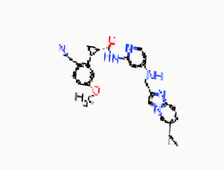 COc1ccc(C#N)c([C@H]2C[C@@H]2C(=O)Nc2cc(NCc3cn4cc(C5CC5)ccc4n3)ccn2)c1